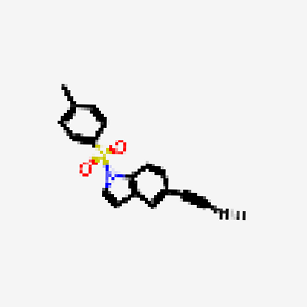 Cc1ccc(S(=O)(=O)n2ccc3cc(C#CC(C)(C)C)ccc32)cc1